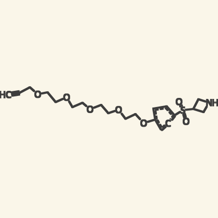 C#CCOCCOCCOCCOCCOc1ccc(S(=O)(=O)C2CNC2)cc1